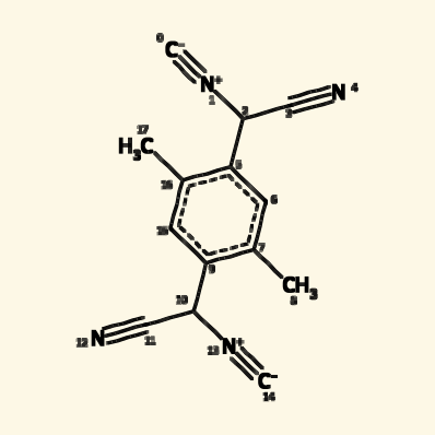 [C-]#[N+]C(C#N)c1cc(C)c(C(C#N)[N+]#[C-])cc1C